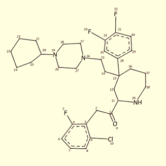 O=C(Cc1c(F)cccc1Cl)C1CC(CCN2CCN(C3CCCCC3)CC2)(c2ccc(F)c(F)c2)CCCN1